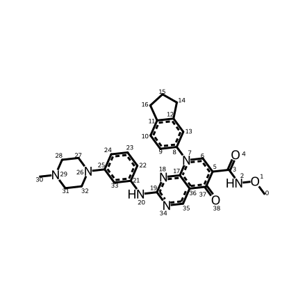 CONC(=O)c1cn(-c2ccc3c(c2)CCC3)c2nc(Nc3cccc(N4CCN(C)CC4)c3)ncc2c1=O